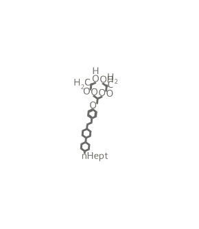 C=C(CO)C(=O)OCC(COC(=O)C(=C)CO)COc1ccc(CCC2CCC(C3CCC(CCCCCCC)CC3)CC2)cc1